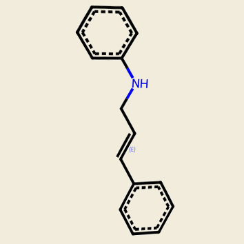 C(=C\c1ccccc1)/CNc1ccccc1